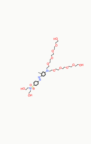 Cc1cc(N(CCOCCOCCOCCOCCO)CCOCCOCCOCCOCCO)ccc1/N=N/c1ccc(S(=O)(=O)N(CCO)CCO)cc1